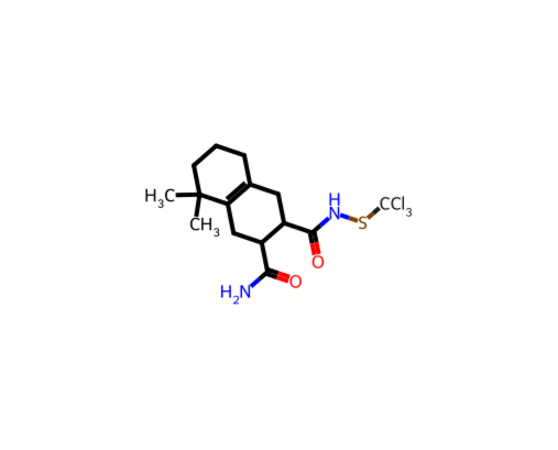 CC1(C)CCCC2=C1CC(C(N)=O)C(C(=O)NSC(Cl)(Cl)Cl)C2